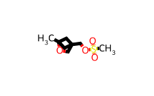 CC12CC(COS(C)(=O)=O)(CO1)C2